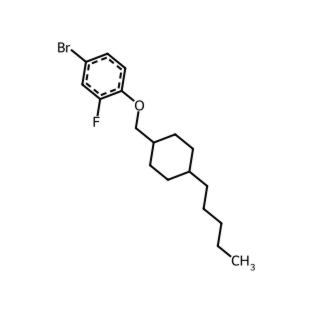 CCCCCC1CCC(COc2ccc(Br)cc2F)CC1